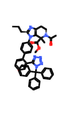 CCCc1nc2c(n1-c1ccc(-c3ccccc3-c3nnnn3C(c3ccccc3)(c3ccccc3)c3ccccc3)cc1)C(C)(C(=O)OC)N(C(C)=O)CC2